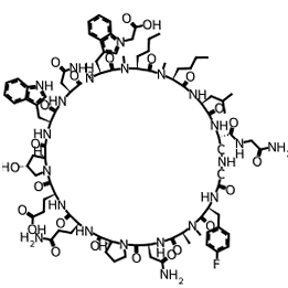 CCCC[C@H]1C(=O)N(C)[C@@H](CCCC)C(=O)N[C@@H](CC(C)C)C(=O)N[C@H](C(=O)NCC(N)=O)CNCC(=O)N[C@@H](Cc2ccc(F)cc2)C(=O)N(C)[C@@H](C)C(=O)N[C@@H](CC(N)=O)C(=O)N2CCC[C@H]2C(=O)N[C@@H](CCC(N)=O)C(=O)N[C@@H](CCC(=O)O)C(=O)N2C[C@H](O)C[C@H]2C(=O)N[C@@H](Cc2c[nH]c3ccccc23)C(=O)N[C@@H](CC(N)=O)C(=O)N[C@@H](Cc2cn(CC(=O)O)c3ccccc23)C(=O)N1C